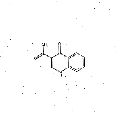 CC(=O)c1c[nH]c2ccccc2c1=O